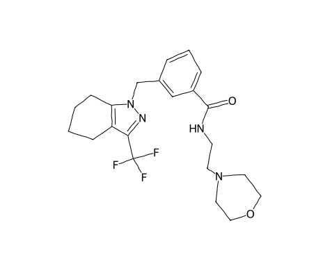 O=C(NCCN1CCOCC1)c1cccc(Cn2nc(C(F)(F)F)c3c2CCCC3)c1